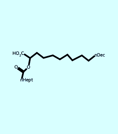 CCCCCCCCCCCCCCCCCCC(OC(=O)CCCCCCC)C(=O)O